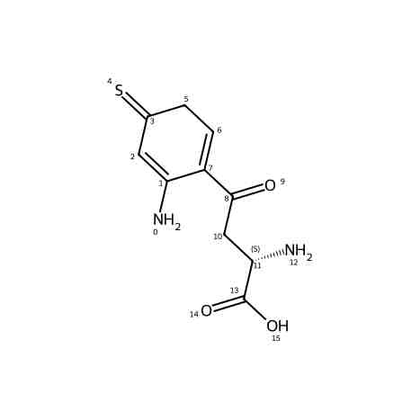 NC1=CC(=S)CC=C1C(=O)C[C@H](N)C(=O)O